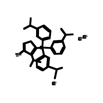 CC(C)C1=C([Si](c2cccc(C(C)C)c2)(c2cccc(C(C)C)c2)c2cccc(C(C)C)c2)CC=[C]1[Ti+3].[Cl-].[Cl-].[Cl-]